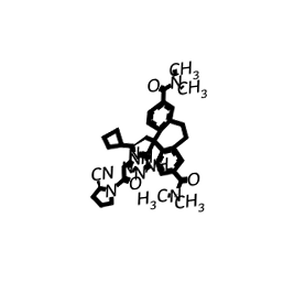 CN(C)C(=O)c1ccc2c(c1)CCc1cc(C(=O)N(C)C)ccc1C2(C[C@@H](NCC(=O)N1CCC[C@H]1C#N)C1CCC1)c1nnn[nH]1